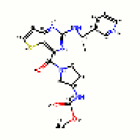 C[C@H](Nc1nc(C(=O)N2CCC(NC(=O)OC(C)(C)C)C2)c2sccc2n1)c1cccnc1